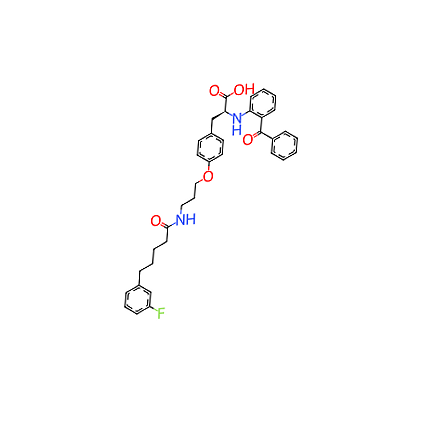 O=C(CCCCc1cccc(F)c1)NCCCOc1ccc(C[C@H](Nc2ccccc2C(=O)c2ccccc2)C(=O)O)cc1